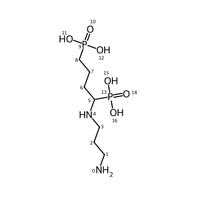 NCCCNC(CCCP(=O)(O)O)P(=O)(O)O